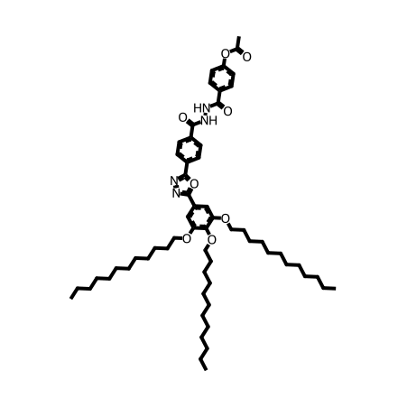 CCCCCCCCCCCCOc1cc(-c2nnc(-c3ccc(C(=O)NNC(=O)c4ccc(OC(C)=O)cc4)cc3)o2)cc(OCCCCCCCCCCCC)c1OCCCCCCCCCCCC